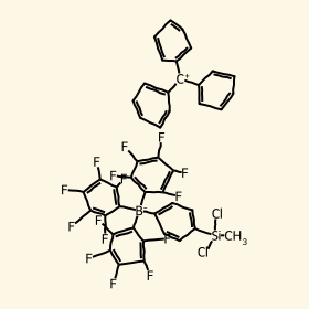 C[Si](Cl)(Cl)c1ccc([B-](c2c(F)c(F)c(F)c(F)c2F)(c2c(F)c(F)c(F)c(F)c2F)c2c(F)c(F)c(F)c(F)c2F)cc1.c1ccc([C+](c2ccccc2)c2ccccc2)cc1